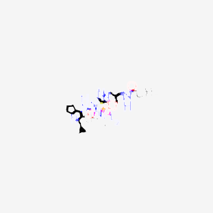 CC(=O)NCC1COc2c(S(N)(=O)=NC(=O)Nc3c(C)c(C4CC4)nc4c3CCC4)cnn2C1